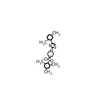 Cc1cc(C)c(S(=O)(=O)N2CCN(c3nc(-c4cc(C)ccc4C)cs3)CC2)c(C)c1